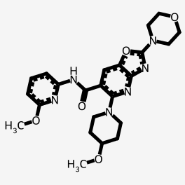 COc1cccc(NC(=O)c2cc3oc(N4CCOCC4)nc3nc2N2CCC(OC)CC2)n1